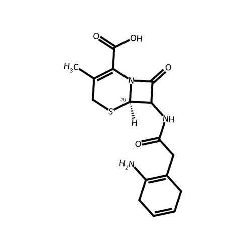 CC1=C(C(=O)O)N2C(=O)C(NC(=O)CC3=C(N)CC=CC3)[C@H]2SC1